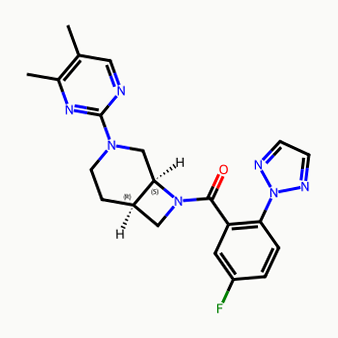 Cc1cnc(N2CC[C@@H]3CN(C(=O)c4cc(F)ccc4-n4nccn4)[C@@H]3C2)nc1C